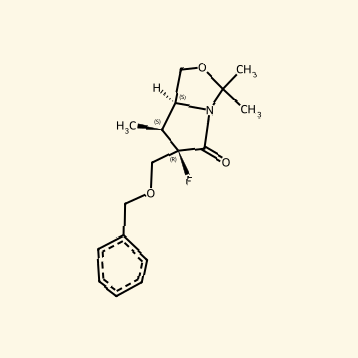 C[C@H]1[C@H]2COC(C)(C)N2C(=O)[C@]1(F)COCc1ccccc1